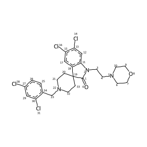 O=C1N(CCN2CCOCC2)c2cc(Cl)c(Cl)cc2C12CCN(Cc1ccc(Cl)cc1Cl)CC2